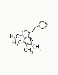 Cc1nc2c(C=Cc3ccccc3)ccc(C)c2c(C)c1C